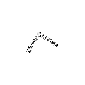 [Ag].[Ag].[Mn].[Mn].[O-2].[O-2].[O-2].[O-2].[O-2].[V+5].[V+5]